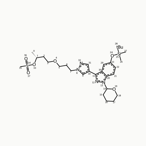 C[C@H](CCOCCCn1cc(-c2nn(C3CCCCO3)c3ccc(O[Si](C)(C)C(C)(C)C)cc23)cn1)OS(C)(=O)=O